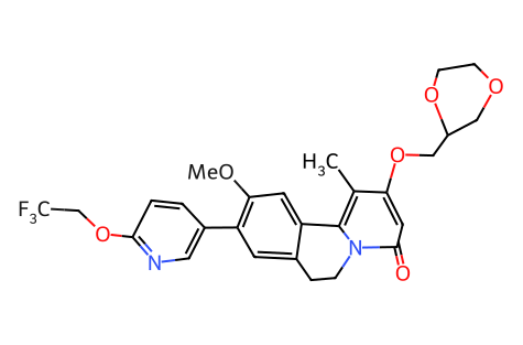 COc1cc2c(cc1-c1ccc(OCC(F)(F)F)nc1)CCn1c-2c(C)c(OCC2COCCO2)cc1=O